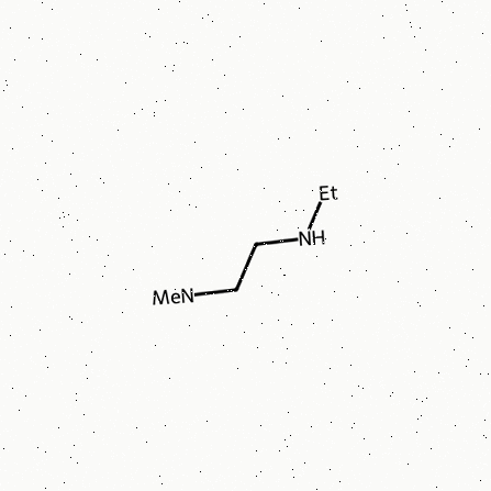 CCNCCNC